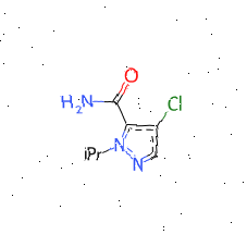 CC(C)n1ncc(Cl)c1C(N)=O